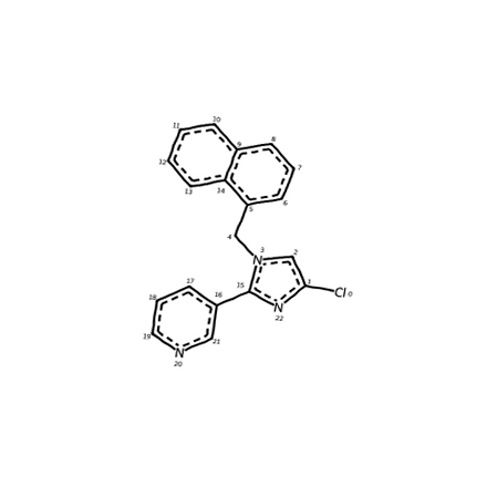 Clc1cn(Cc2cccc3ccccc23)c(-c2cccnc2)n1